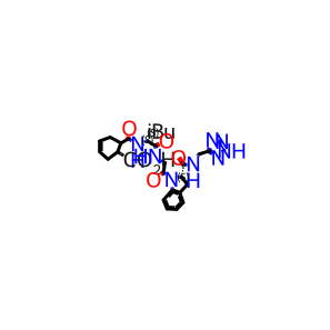 CC[C@H](C)[C@H](NC(=O)C1CC=CCC1C(=O)O)C(=O)NCC(=O)N1c2ccccc2C[C@H]1C(=O)NCc1nn[nH]n1